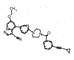 CCOc1cc(-c2ccc(N3CCN(C(=O)c4cccc(C#CC5CC5)c4)CC3)nc2)c2c(C#N)cnn2c1